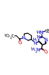 CC(C)(C)Nc1ncc(C(N)=O)c(NC2CCCN(C(=O)CC(=O)O)C2)n1